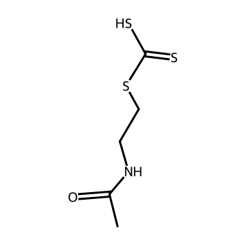 CC(=O)NCCSC(=S)S